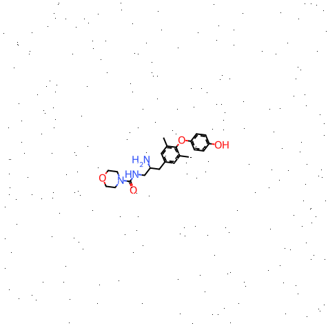 Cc1cc(C[C@H](N)CNC(=O)N2CCOCC2)cc(C)c1Oc1ccc(O)cc1